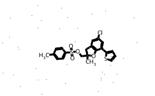 Cc1ccc(S(=O)(=O)OCC2(C)Cc3cc(Cl)cc(-c4cccs4)c3O2)cc1